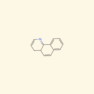 C1=CN=C2c3ccccc3C=CC2C1